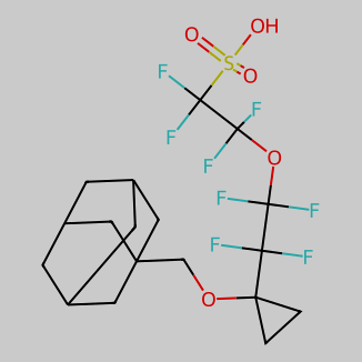 O=S(=O)(O)C(F)(F)C(F)(F)OC(F)(F)C(F)(F)C1(OCC23CC4CC(CC(C4)C2)C3)CC1